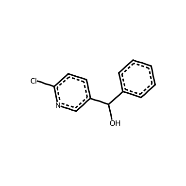 OC(c1ccccc1)c1ccc(Cl)nc1